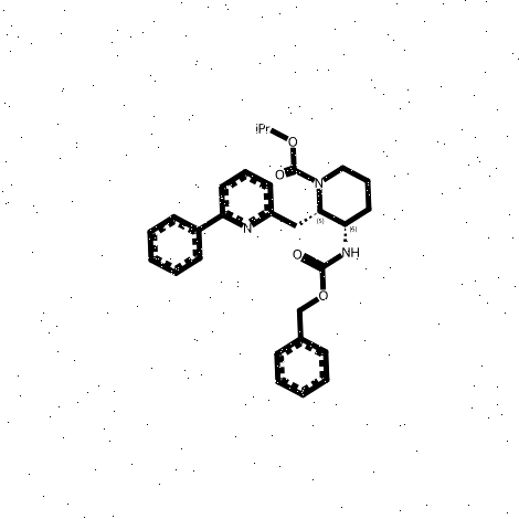 CC(C)OC(=O)N1CCC[C@H](NC(=O)OCc2ccccc2)[C@@H]1Cc1cccc(-c2ccccc2)n1